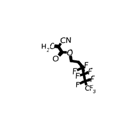 C=C(C#N)C(=O)OCCC(F)(F)C(F)(F)C(F)(F)C(F)(F)F